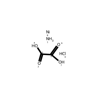 Cl.N.O=C(O)C(=O)O.[Ni]